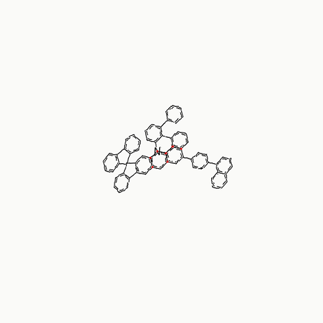 c1ccc(-c2ccccc2-c2c(-c3ccccc3)cccc2N(c2ccc(-c3ccc(-c4cccc5ccccc45)cc3)cc2)c2ccc3c(c2)C2(c4ccccc4-c4ccccc42)c2ccccc2-3)cc1